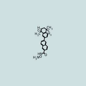 CC1(C)CCC(C)(C)c2cc(-c3ccc4cc(C(=O)NON)ccc4c3)ccc21